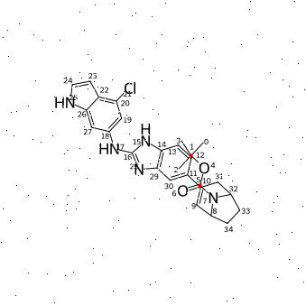 CC(C)(C)OC(=O)N1C2C=C(c3ccc4[nH]c(Nc5cc(Cl)c6cc[nH]c6c5)nc4c3)CC1CC2